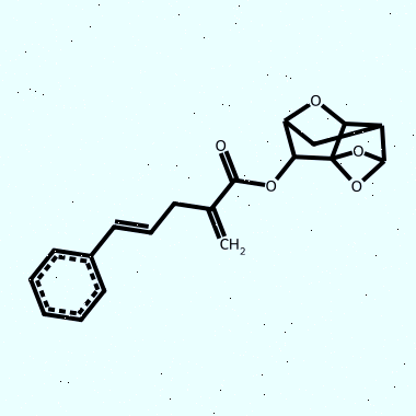 C=C(CC=Cc1ccccc1)C(=O)OC1C2CC3C4OC1(O4)C3O2